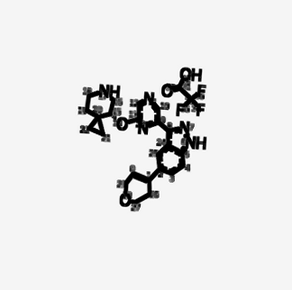 C1=C(c2ccc3[nH]nc(-c4cncc(O[C@H]5CNCCC56CC6)n4)c3c2)CCOC1.O=C(O)C(F)(F)F